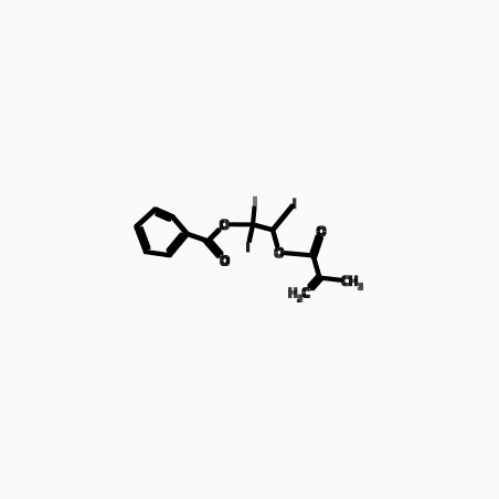 C=C(C)C(=O)OC(I)C(I)(I)OC(=O)c1ccccc1